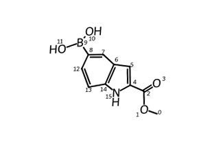 COC(=O)c1cc2cc(B(O)O)ccc2[nH]1